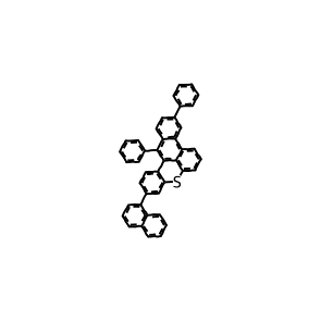 c1ccc(-c2ccc3c(-c4ccccc4)c4c5c(cccc5c3c2)Sc2cc(-c3cccc5ccccc35)ccc2-4)cc1